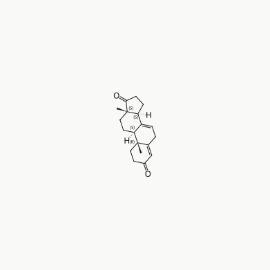 C[C@]12CCC(=O)C=C1CC=C1[C@@H]2CC[C@]2(C)C(=O)CC[C@@H]12